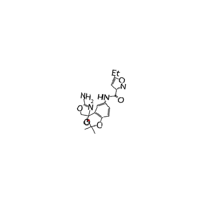 CCc1cc(C(=O)Nc2ccc3c(c2)C2(COC(N)=N2)C2(COC2)C(C)(C)O3)no1